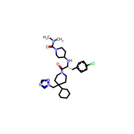 CN(C)C(=O)N1CCC(N[C@H](Cc2ccc(Cl)cc2)C(=O)N2CCC(Cn3cncn3)(C3CCCCC3)CC2)CC1